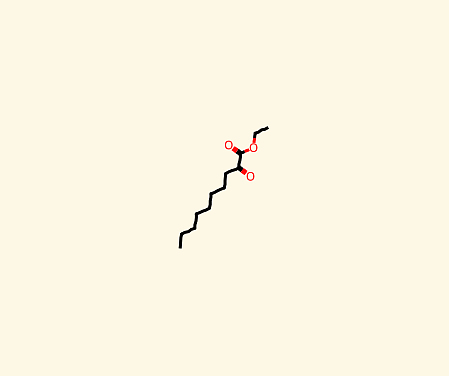 CCCCCCCCC(=O)C(=O)OCC